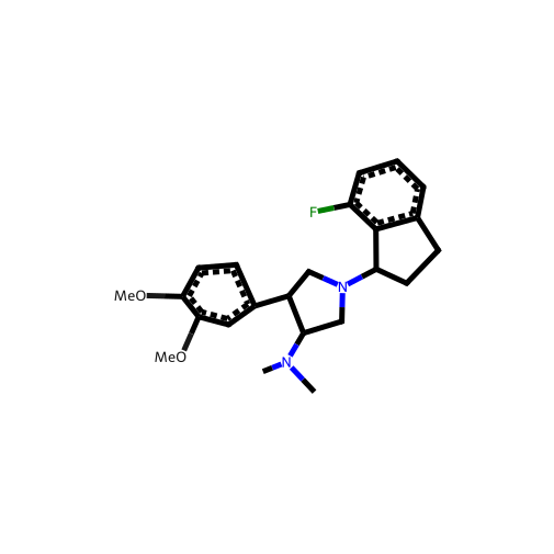 COc1ccc(C2CN(C3CCc4cccc(F)c43)CC2N(C)C)cc1OC